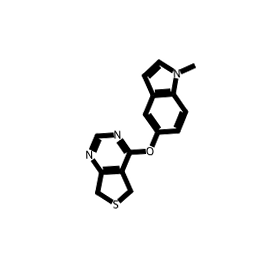 Cn1ccc2cc(Oc3ncnc4c3CSC4)ccc21